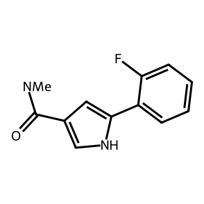 CNC(=O)c1c[nH]c(-c2ccccc2F)c1